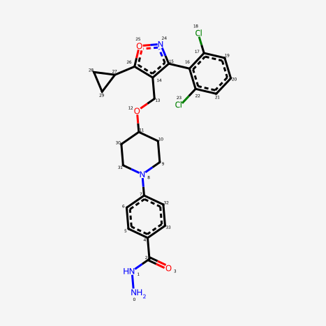 NNC(=O)c1ccc(N2CCC(OCc3c(-c4c(Cl)cccc4Cl)noc3C3CC3)CC2)cc1